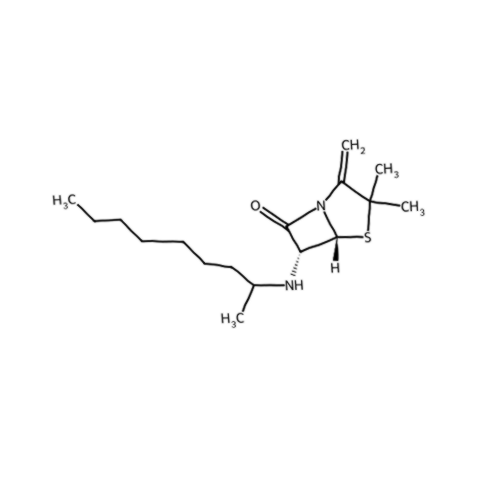 C=C1N2C(=O)[C@@H](NC(C)CCCCCCC)[C@H]2SC1(C)C